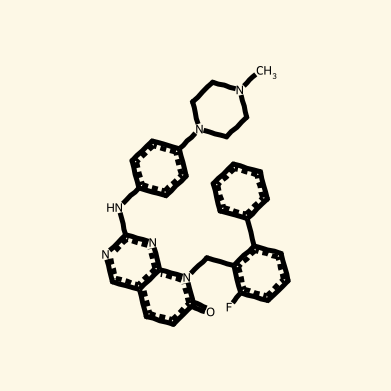 CN1CCN(c2ccc(Nc3ncc4ccc(=O)n(Cc5c(F)cccc5-c5ccccc5)c4n3)cc2)CC1